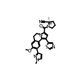 COc1cc2c(cc1-c1ccn(C)n1)-c1c(-c3cncs3)cc(C(=O)N3CCC[C@]3(C)C#N)n1CC2